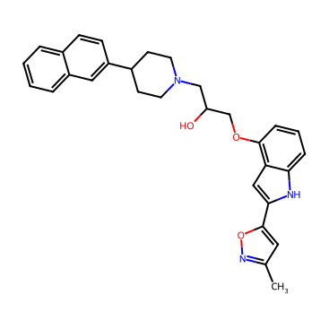 Cc1cc(-c2cc3c(OCC(O)CN4CCC(c5ccc6ccccc6c5)CC4)cccc3[nH]2)on1